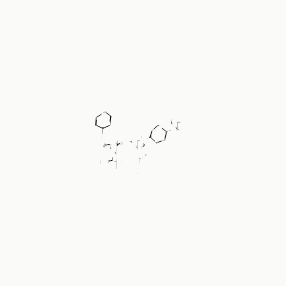 BC(=O)N1[C@H](Cc2ccccc2)[C@H]1CN(CC(C)C)S(=O)(=O)c1ccc([N+](=O)[O-])cc1